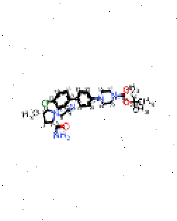 C[C@H]1C[C@@H](C(N)=O)[N+](CC#N)(c2cc(-c3ccc(N4CCN(C(=O)OC(C)(C)C)CC4)cc3)ccc2Cl)C1